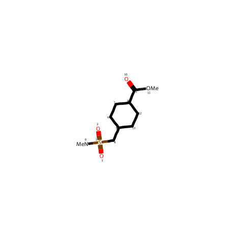 CNS(=O)(=O)CC1CCC(C(=O)OC)CC1